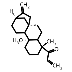 C=CC(=O)[C@]1(C)CCC[C@@]2(C)C3CC[C@@H]4C[C@@]3(CCC21)CC4=C